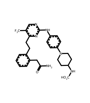 NC(=O)Cc1ccccc1CCc1nc(Nc2ccc(N3CCC(NC(=O)O)CC3)cc2)ncc1C(F)(F)F